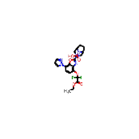 CCOC(=O)C(F)(F)Oc1ccc(-n2cccn2)c2oc(N3CC4CCC(C3)N4C(=O)O)nc12